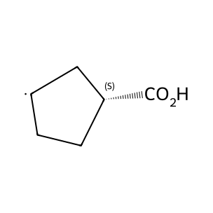 O=C(O)[C@H]1C[CH]CC1